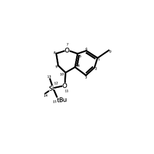 Cc1ccc2c(c1)OCCC2O[Si](C)(C)C(C)(C)C